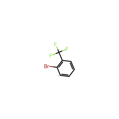 FC(F)(F)c1ccc[c]c1Br